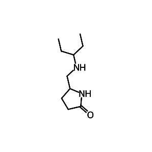 CCC(CC)NCC1CCC(=O)N1